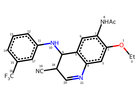 CCOc1cc2c(cc1NC(C)=O)C(Nc1cccc(C(F)(F)F)c1)C(C#N)C=N2